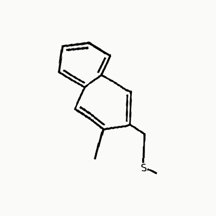 CSCc1cc2ccccc2cc1C